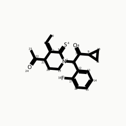 CC=C1C(=S)N(C(C(=O)C2CC2)c2ccccc2F)CCC1C(C)=O